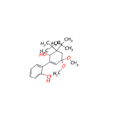 COC1(OC)C=C(c2ccccc2O)C(O)C(C(C)(C)C)(C(C)(C)C)C1